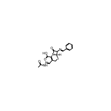 CC(=O)NN=CC1=C(C(=O)O)N2C(=O)C(N=Cc3ccccc3)[C@@H]2SC1